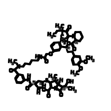 CCC(C)(C)C(=O)C(=O)N1CCCC[C@H]1C(=O)O[C@H](CCc1ccc(OC)c(OC)c1)c1cccc(OCC(=O)NCCCCCN(C)C(=O)c2cccc(NC(=O)[C@@H]3C[C@H](SC4=C(C(=O)O)N5C(=O)[C@H]([C@@H](C)O)[C@H]5[C@H]4C)CN3)c2)c1